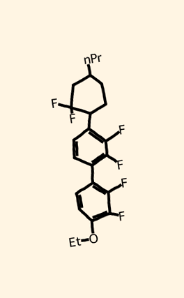 CCCC1CCC(c2ccc(-c3ccc(OCC)c(F)c3F)c(F)c2F)C(F)(F)C1